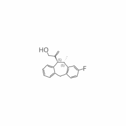 C=C(CO)[C@@H]1c2ccccc2Cc2ccc(F)cc2[C@H]1C